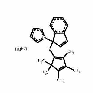 CC1=C(C)C(C)(C)[C]([Ti][C]2(n3cccc3)C=Cc3ccccc32)=C1C.Cl.Cl